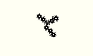 c1ccc(-c2ccc(-c3nc(-c4cccc(-c5ccc6c(c5)sc5ccccc56)c4)nc(-c4ccc5c(c4)sc4ccccc45)n3)cc2)cc1